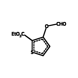 CCOC(=O)c1sccc1OC=O